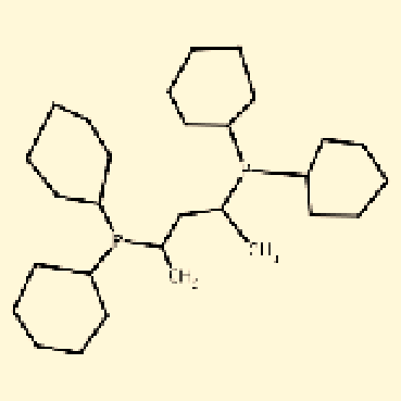 CC(CC(C)P(C1CCCCC1)C1CCCCC1)P(C1CCCCC1)C1CCCCC1